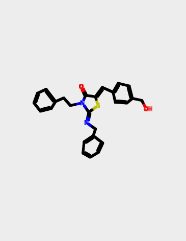 O=C1/C(=C/c2ccc(CO)cc2)S/C(=N\Cc2ccccc2)N1CCc1ccccc1